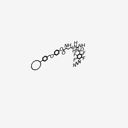 [N-]=[N+]=Nc1c(F)c(F)c(C(=O)NC(=N)NCCCC(N)C(=O)Oc2ccc(OCc3ccc(C4CCCCCCCCCC4)cc3)cc2)c(F)c1F